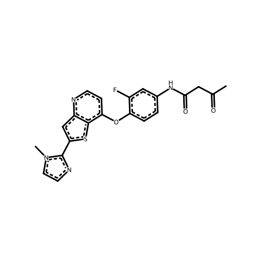 CC(=O)CC(=O)Nc1ccc(Oc2ccnc3cc(-c4nccn4C)sc23)c(F)c1